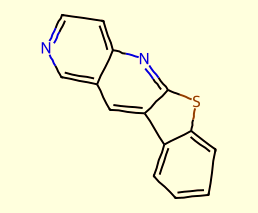 c1ccc2c(c1)sc1nc3ccncc3cc12